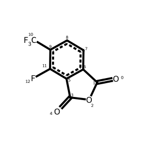 O=C1OC(=O)c2c1ccc(C(F)(F)F)c2F